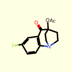 CC(=O)OC12CCN(CC1)c1ccc(F)cc1C2=O